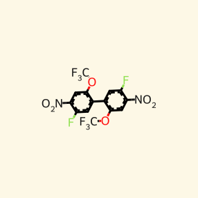 O=[N+]([O-])c1cc(OC(F)(F)F)c(-c2cc(F)c([N+](=O)[O-])cc2OC(F)(F)F)cc1F